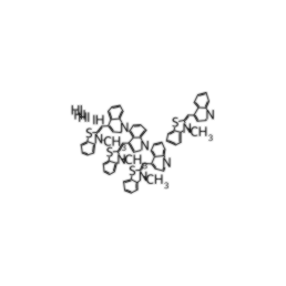 CN1C(=Cc2ccnc3ccccc23)Sc2ccccc21.CN1C(=Cc2ccnc3ccccc23)Sc2ccccc21.CN1C(=Cc2ccnc3ccccc23)Sc2ccccc21.CN1C(=Cc2ccnc3ccccc23)Sc2ccccc21.I.I.I.I